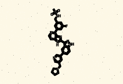 CS(=O)(=O)NCc1cc(F)cc(-c2nccc3[nH]c(-c4n[nH]c5ccc(-c6cncc(CN7CCCC7)c6)cc45)nc23)c1